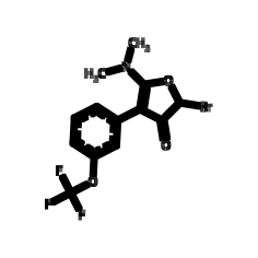 CN(C)C1=C(c2cccc(OC(F)(F)F)c2)C(=O)C(Br)O1